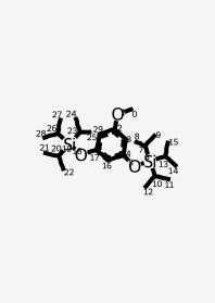 COc1cc(O[Si](C(C)C)(C(C)C)C(C)C)cc(O[Si](C(C)C)(C(C)C)C(C)C)c1